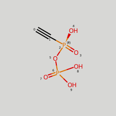 C#C[P@@](=O)(O)OP(=O)(O)O